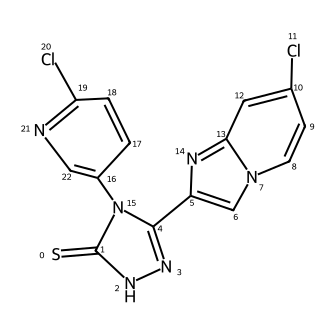 S=c1[nH]nc(-c2cn3ccc(Cl)cc3n2)n1-c1ccc(Cl)nc1